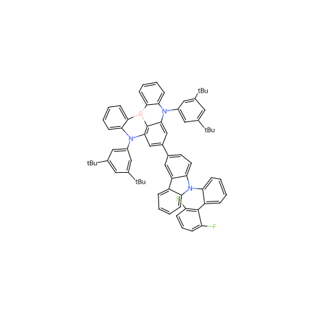 CC(C)(C)c1cc(N2c3ccccc3B3c4ccccc4N(c4cc(C(C)(C)C)cc(C(C)(C)C)c4)c4cc(-c5ccc6c(c5)c5ccccc5n6-c5ccccc5-c5c(F)cccc5F)cc2c43)cc(C(C)(C)C)c1